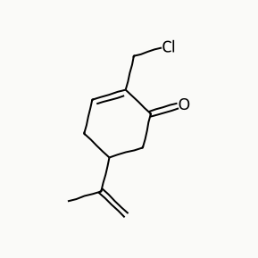 C=C(C)C1CC=C(CCl)C(=O)C1